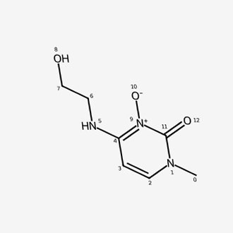 Cn1ccc(NCCO)[n+]([O-])c1=O